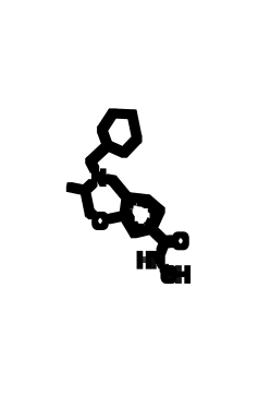 CC1COc2cc(C(=O)NO)ccc2CN1CC1CCCCC1